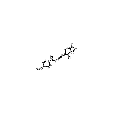 COc1ccc(NCC#Cc2cnc3[nH]ccc3c2Cl)cc1